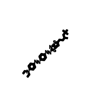 CCN(CC)c1ccc(/N=N/c2ccc(/N=N/c3nc4sc(CCC(C)CC(C)(C)C)cc4s3)cc2)cc1